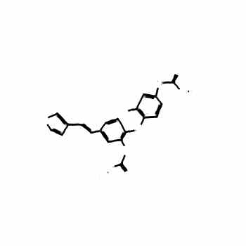 CC(C)(C)OC(=O)Nc1ccc(Oc2ccc(C=Cc3ccsc3)cc2OC(=O)OC(C)(C)C)c(F)c1